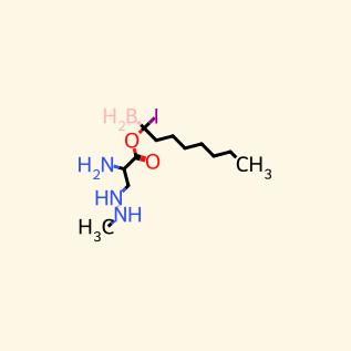 BC(I)(CCCCCCC)OC(=O)C(N)CNNC